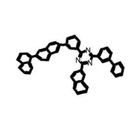 c1ccc(-c2cccc(-c3nc(-c4cccc(-c5ccc6cc(-c7cccc8ccccc78)ccc6c5)c4)nc(-c4ccc5ccccc5c4)n3)c2)cc1